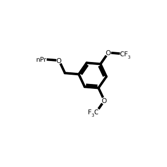 [CH2]CCOCc1cc(OC(F)(F)F)cc(OC(F)(F)F)c1